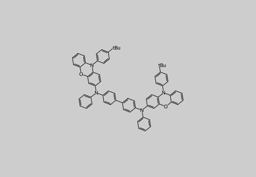 CC(C)(C)c1ccc(N2c3ccccc3Oc3cc(N(c4ccccc4)c4ccc(-c5ccc(N(c6ccccc6)c6ccc7c(c6)Oc6ccccc6N7c6ccc(C(C)(C)C)cc6)cc5)cc4)ccc32)cc1